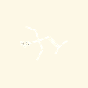 CCC(N)(C=C(C)C)CC